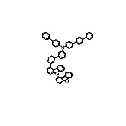 C1=CC(c2cccc3c2c2ccccc2n3-c2cccc3oc4ccccc4c23)=CC(c2cccc(N(c3ccc(-c4ccccc4)cc3)c3ccc(-c4ccc(-c5ccccc5)cc4)cc3)c2)C1